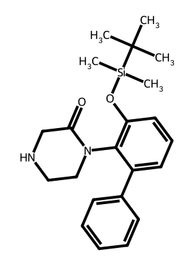 CC(C)(C)[Si](C)(C)Oc1cccc(-c2ccccc2)c1N1CCNCC1=O